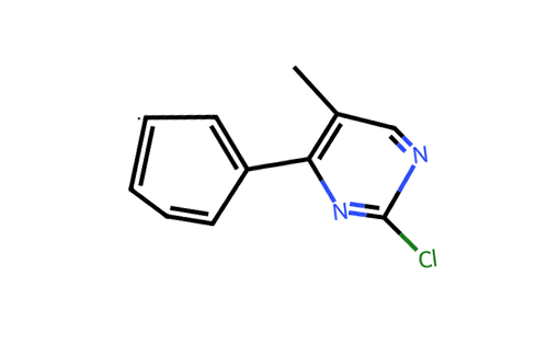 Cc1cnc(Cl)nc1-c1c[c]ccc1